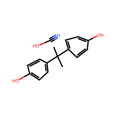 CC(C)(c1ccc(O)cc1)c1ccc(O)cc1.N#CO